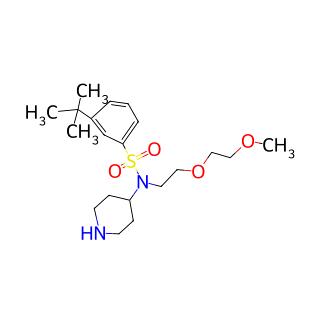 COCCOCCN(C1CCNCC1)S(=O)(=O)c1cccc(C(C)(C)C)c1